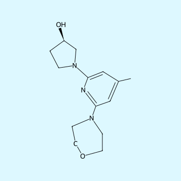 Cc1cc(N2CCOCC2)nc(N2CC[C@@H](O)C2)c1